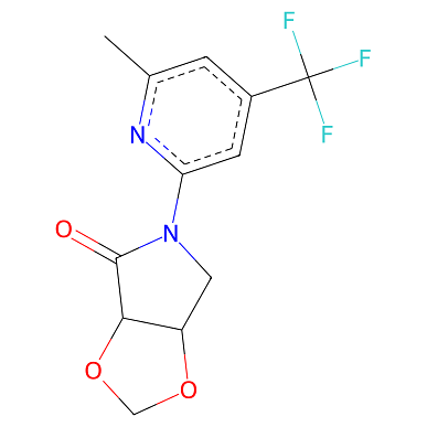 Cc1cc(C(F)(F)F)cc(N2CC3OCOC3C2=O)n1